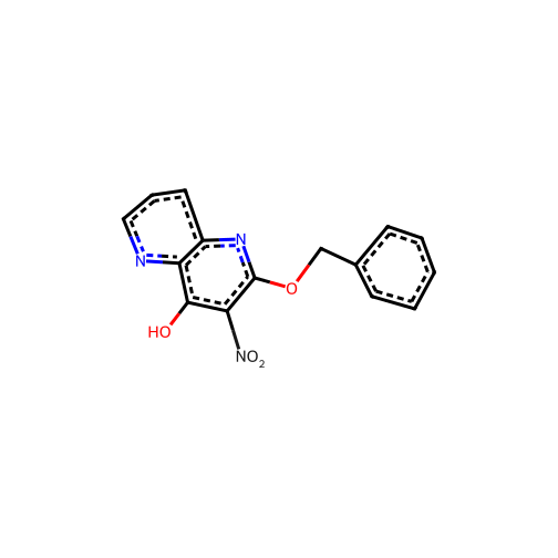 O=[N+]([O-])c1c(OCc2ccccc2)nc2cccnc2c1O